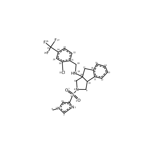 Cn1cnc(S(=O)(=O)N2CC3c4ccccc4CC3(NCc3ccc(C(F)(F)F)cc3Cl)C2)c1